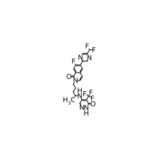 C[C@@H](CCCn1ccc2cc(-c3cnc(C(F)F)cn3)c(F)cc2c1=O)Nc1cn[nH]c(=O)c1C(F)(F)F